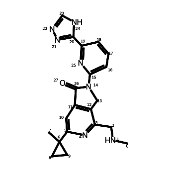 CNCc1nc(C2(C)CC2)cc2c1CN(c1cccc(-c3nnc[nH]3)n1)C2=O